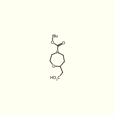 CC(C)(C)OC(=O)N1CCOC(CC(=O)O)CC1